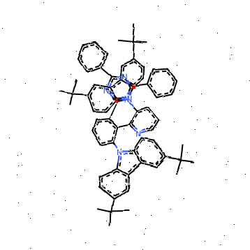 CC(C)(C)c1ccc2c(c1)c1cc(C(C)(C)C)ccc1n2-c1cccnc1-c1c(-c2nc(-c3ccccc3)nc(-c3ccccc3)n2)cccc1-n1c2ccc(C(C)(C)C)cc2c2cc(C(C)(C)C)ccc21